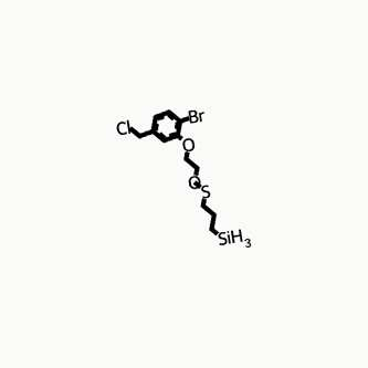 [SiH3]CCCSOCCOc1cc(CCl)ccc1Br